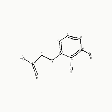 O=C(O)CCc1cccc(Br)c1Cl